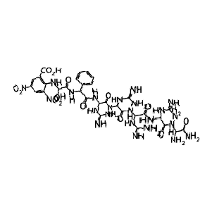 N=C(N)NC(NC(=O)C(NC(=N)N)NC(=O)C(NC(=N)N)NC(=O)C(NC(=N)N)NC(=O)C(NC(=O)C(O)Nc1c(C(=O)O)cc([N+](=O)[O-])cc1[N+](=O)[O-])c1ccccc1)C(=O)NC(N)C(N)=O